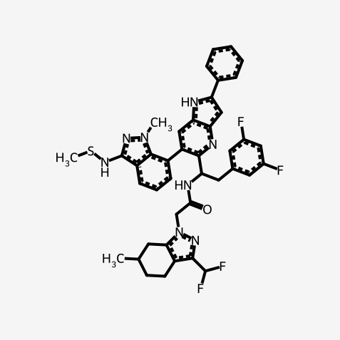 CSNc1nn(C)c2c(-c3cc4[nH]c(-c5ccccc5)cc4nc3C(Cc3cc(F)cc(F)c3)NC(=O)Cn3nc(C(F)F)c4c3CC(C)CC4)cccc12